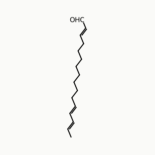 CC=CC=CCCCCCCCCC=CC=O